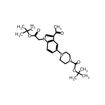 CC(=O)c1cn(CC(=O)OC(C)(C)C)c2ccc(N3CCN(C(=O)OC(C)(C)C)CC3)cc12